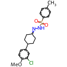 COc1ccc(C2CCC(=NNS(=O)(=O)c3ccc(C)cc3)CC2)cc1Cl